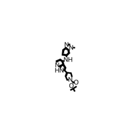 Cn1cnc2ccc(Nc3ccnc4[nH]c(C5=CCN(C(=O)OC(C)(C)C)CC5)cc34)cc21